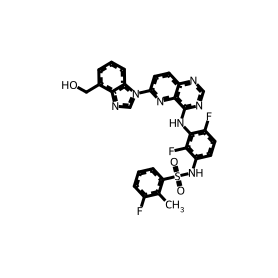 Cc1c(F)cccc1S(=O)(=O)Nc1ccc(F)c(Nc2ncnc3ccc(-n4cnc5c(CO)cccc54)nc23)c1F